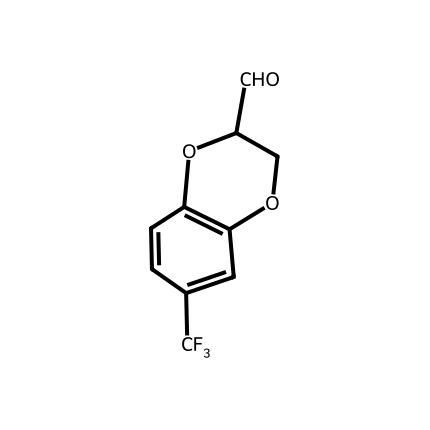 O=CC1COc2cc(C(F)(F)F)ccc2O1